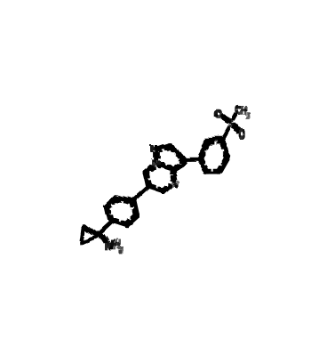 CS(=O)(=O)c1cccc(-c2cnn3cc(-c4ccc(C5(N)CC5)cc4)cnc23)c1